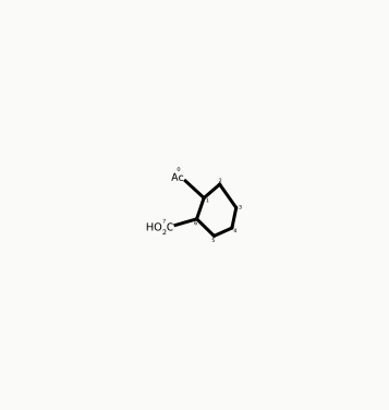 CC(=O)C1CCCCC1C(=O)O